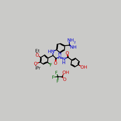 CCOc1cc(C(Nc2ccc(C(=N)N)cc2)C(=O)NNC(=O)c2ccc(O)cc2)c(F)cc1OC(C)C.O=C(O)C(F)(F)F